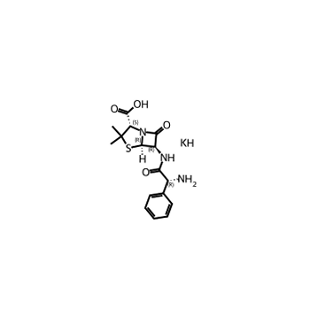 CC1(C)S[C@@H]2[C@H](NC(=O)[C@H](N)c3ccccc3)C(=O)N2[C@H]1C(=O)O.[KH]